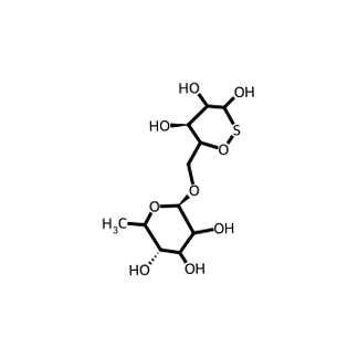 CC1O[C@@H](OCC2OSC(O)C(O)[C@@H]2O)C(O)C(O)[C@@H]1O